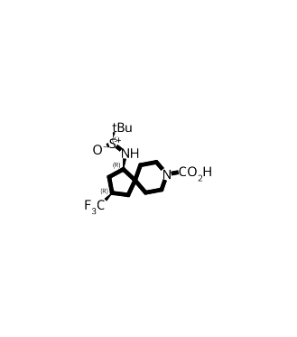 CC(C)(C)[S@@+]([O-])N[C@@H]1C[C@H](C(F)(F)F)CC12CCN(C(=O)O)CC2